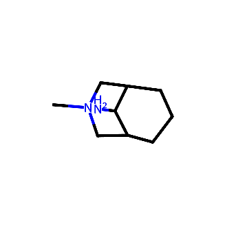 CN1CC2CCCC(C1)C2N